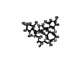 C=C/C(C)=C\C(C)=C(/C)B(c1ccc(B(c2c(C)cc(C)cc2C)C2C#CC=C(C)C=C2C)s1)C1C(C)=CC(C)=CC1C